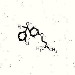 CCC(O)(c1ccc(OCCN(C)C)cc1)c1cccc(Cl)c1